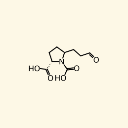 O=CCCC1CC[C@@H](C(=O)O)N1C(=O)O